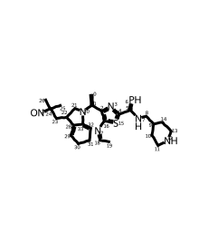 C=C(c1nc(C(=P)NCC2CCNCC2)sc1/N=C\C)N1CC(CC(C)(C)N=O)C2=CCCC=C21